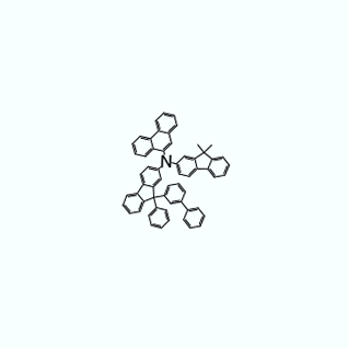 CC1(C)c2ccccc2-c2ccc(N(c3ccc4c(c3)C(c3ccccc3)(c3cccc(-c5ccccc5)c3)c3ccccc3-4)c3cc4ccccc4c4ccccc34)cc21